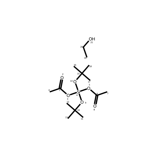 CC(=O)O[Si](OC(C)=O)(OC(C)(C)C)OC(C)(C)C.CCO